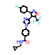 O=C(NCC1CC1)c1ccc(-n2cnc(-c3c(-c4ccc(F)cc4)noc3C(F)(F)F)c2)cc1